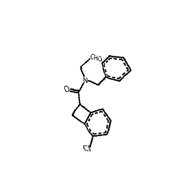 O=CCN(Cc1ccccc1)C(=O)C1Cc2c(Cl)cccc21